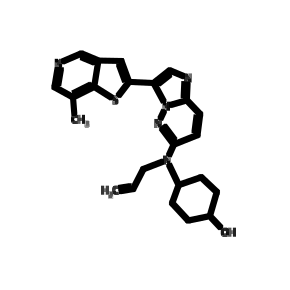 C=CCN(c1ccc2ncc(-c3cc4cncc(C)c4s3)n2n1)C1CCC(O)CC1